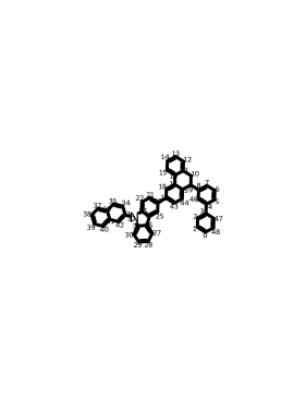 c1ccc(-c2cccc(C3Cc4ccccc4-c4cc(-c5ccc6c(c5)c5ccccc5n6-c5ccc6ccccc6c5)ccc43)c2)cc1